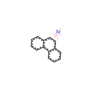 [B].[N].c1ccc2c(c1)ccc1ccccc12